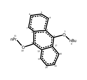 CCCCOc1c2ccccc2c(OCCC)c2ccccc12